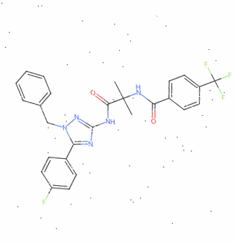 CC(C)(NC(=O)c1ccc(C(F)(F)F)cc1)C(=O)Nc1nc(-c2ccc(F)cc2)n(Cc2ccccc2)n1